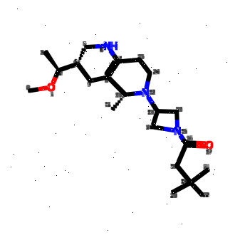 CO[C@@H](C)[C@@H]1CNC2=C(C1)[C@@H](C)N(C1CN(C(=O)CC(C)(C)C)C1)CC2